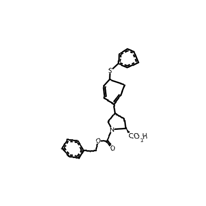 O=C(O)[C@@H]1CC(C2=CCC(Sc3ccccc3)C=C2)CN1C(=O)OCc1ccccc1